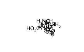 C[C@H](N)C(=O)N[C@@H](CCC(=O)O)C(=O)N[C@@H](CC(N)=O)C(=O)C(=O)CF